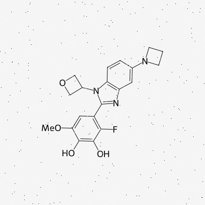 COc1cc(-c2nc3cc(N4CCC4)ccc3n2C2COC2)c(F)c(O)c1O